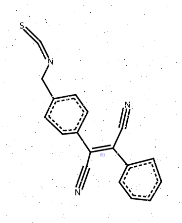 N#C/C(=C(/C#N)c1ccc(CN=C=S)cc1)c1ccccc1